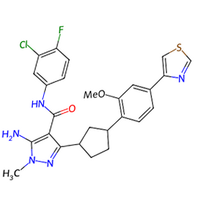 COc1cc(-c2cscn2)ccc1C1CCC(c2nn(C)c(N)c2C(=O)Nc2ccc(F)c(Cl)c2)C1